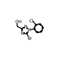 OCc1nc(Br)n(-c2ccccc2Cl)n1